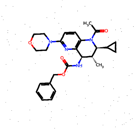 CC(=O)N1c2ccc(N3CCOCC3)nc2[C@H](NC(=O)OCc2ccccc2)[C@@H](C)[C@@H]1C1CC1